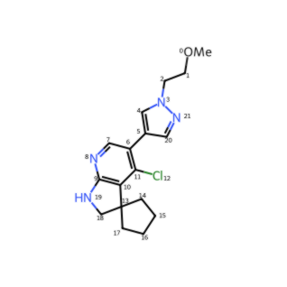 COCCn1cc(-c2cnc3c(c2Cl)C2(CCCC2)CN3)cn1